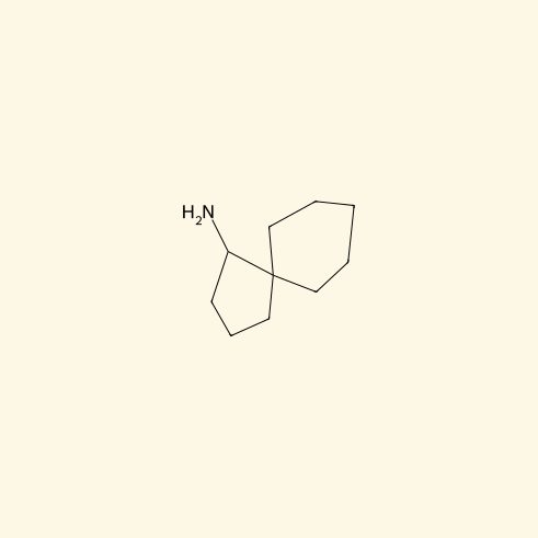 NC1CCCC12CCCCC2